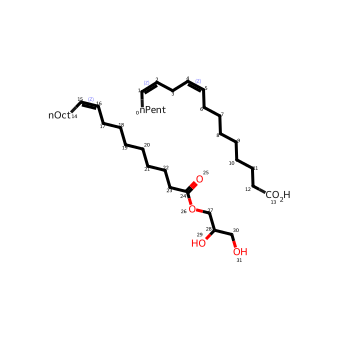 CCCCC/C=C\C/C=C\CCCCCCCC(=O)O.CCCCCCCC/C=C\CCCCCCCC(=O)OCC(O)CO